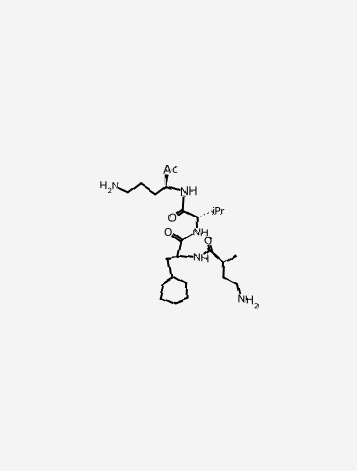 CC(=O)[C@H](CCCN)NC(=O)[C@@H](NC(=O)[C@H](CC1CCCCC1)NC(=O)[C@@H](C)CCN)C(C)C